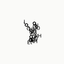 CCNS(=O)(=O)c1ccc(CC(=O)N2C[C@H](OCc3ccc(CI)cc3)C[C@H]2C(=O)N[C@@H](CCCCNC(=O)OC(C)(C)C)C(=O)c2nc3ccccc3o2)cc1